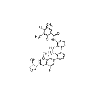 COc1cc(-c2cccc(-c3cccc(NC(=O)c4cn(C)c(=O)n(C)c4=O)c3C)c2C)cc(F)c1CN[C@@H]1COC[C@H]1O